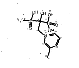 CP(=O)(O)C(O)(C[n+]1cccc(Cl)c1)P(=O)(O)O